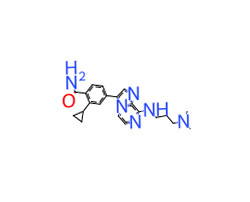 CN(C)CCCNc1nccn2c(-c3ccc(C(N)=O)c(C4CC4)c3)cnc12